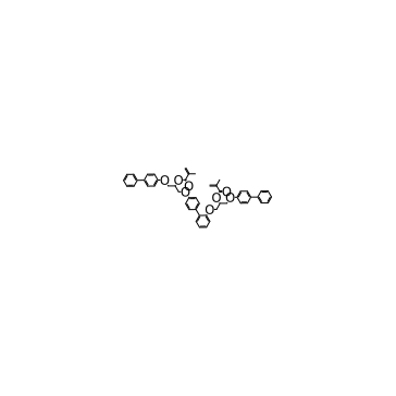 C=C(C)C(=O)OC(COc1ccc(-c2ccccc2)cc1)COc1ccc(-c2ccccc2OCC(COc2ccc(-c3ccccc3)cc2)OC(=O)C(=C)C)cc1